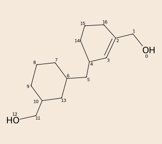 OCC1=CC(CC2CCCC(CO)C2)CCC1